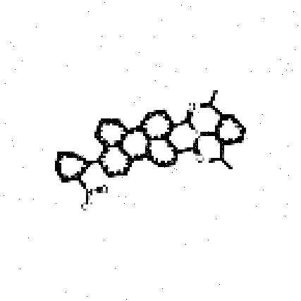 CC(C)c1cccc(C(C)C)c1N1C(=O)c2ccc3c4cccc5c(-c6ccccc6[N+](=O)[O-])ccc(c6ccc(c2c36)C1=O)c54